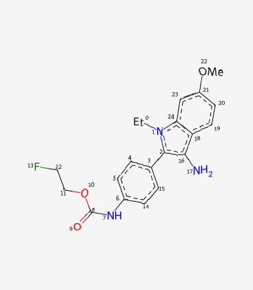 CCn1c(-c2ccc(NC(=O)OCCF)cc2)c(N)c2ccc(OC)cc21